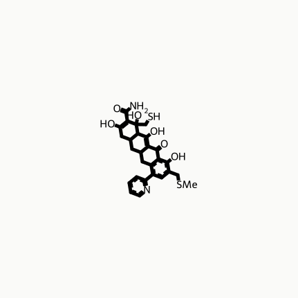 CSCc1cc(-c2ccccn2)c2c(c1O)C(=O)C1=C(O)C3C(CC(O)=C(C(N)=O)C3(O)CS)CC1C2